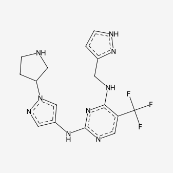 FC(F)(F)c1cnc(Nc2cnn(C3CCNC3)c2)nc1NCc1cc[nH]n1